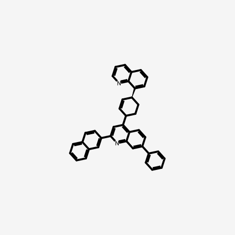 C1=C[C@@H](c2cccc3cccnc23)CCC1c1cc(-c2ccc3ccccc3c2)nc2cc(-c3ccccc3)ccc12